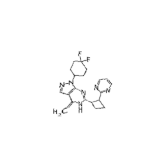 C=C1NC(C2CCC2c2ncccn2)=Nc2c1cnn2C1CCC(F)(F)CC1